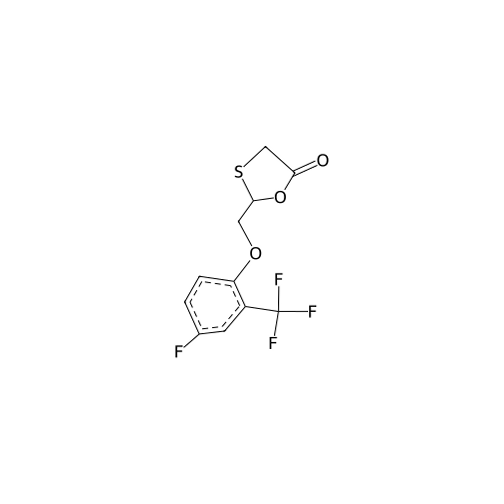 O=C1CSC(COc2ccc(F)cc2C(F)(F)F)O1